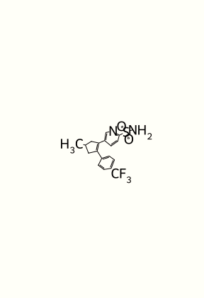 CC1CC(c2ccc(C(F)(F)F)cc2)=C(c2ccc(S(N)(=O)=O)nc2)C1